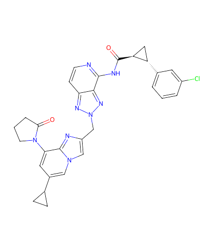 O=C(Nc1nccc2nn(Cc3cn4cc(C5CC5)cc(N5CCCC5=O)c4n3)nc12)[C@H]1C[C@@H]1c1cccc(Cl)c1